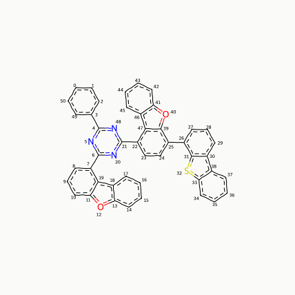 c1ccc(-c2nc(-c3cccc4oc5ccccc5c34)nc(-c3ccc(-c4cccc5c4sc4ccccc45)c4oc5ccccc5c34)n2)cc1